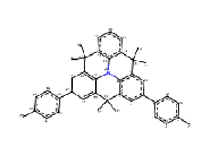 Cc1ccc(-c2cc3c4c(c2)C(C)(C)c2cccc5c2N4C2=C(CC(c4ccc(C)cc4)C=C2C3(C)C)C5(C)C)cc1